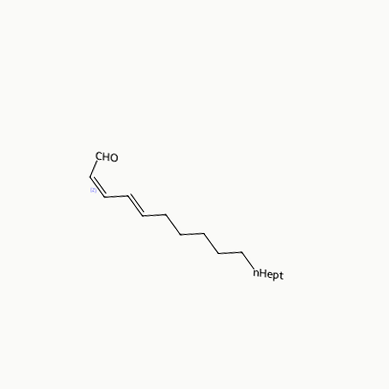 CCCCCCCCCCCCC=C/C=C\C=O